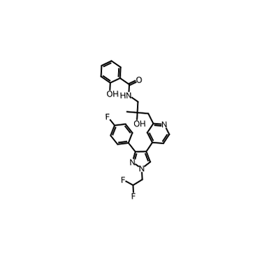 CC(O)(CNC(=O)c1ccccc1O)Cc1cc(-c2cn(CC(F)F)nc2-c2ccc(F)cc2)ccn1